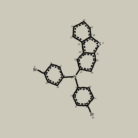 Brc1ccc(N(c2ccc(Br)cc2)c2ccc3sc4ccccc4c3c2)cc1